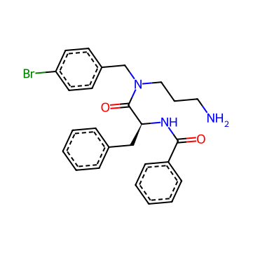 NCCCN(Cc1ccc(Br)cc1)C(=O)[C@H](Cc1ccccc1)NC(=O)c1ccccc1